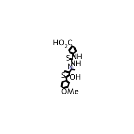 COc1ccc(-c2scc(/C(C)=N/NC(=S)Nc3ccc(C(=O)O)cc3)c2O)cc1